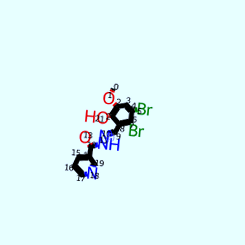 COc1cc(Br)c(Br)c(/C=N/NC(=O)c2cccnc2)c1O